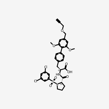 C#CCOCc1cc(OC)c(-c2ccc(C[C@H](NC(=O)[C@@H]3CCCN3S(=O)(=O)c3cc(Cl)cc(Cl)c3)C(=O)O)cc2)c(OC)c1